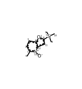 Cc1ccc2oc([Si](C)(C)C)cc2[n+]1[O-]